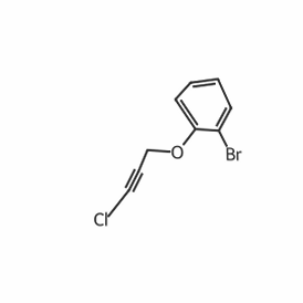 ClC#CCOc1ccccc1Br